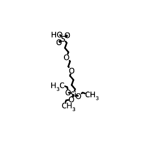 CCO[Si](CCCCOCCOCCCS(=O)(=O)O)(OCC)OCC